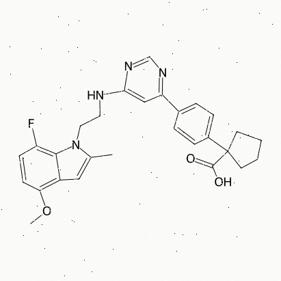 COc1ccc(F)c2c1cc(C)n2CCNc1cc(-c2ccc(C3(C(=O)O)CCCC3)cc2)ncn1